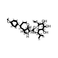 COc1ccc([C@H]2CCO[C@@H]3[C@H](CN[C@@H]3C(=O)N[C@H](C(C)C)[C@H]3OC(SC)[C@H](O)C(O)C3O)C2)cc1